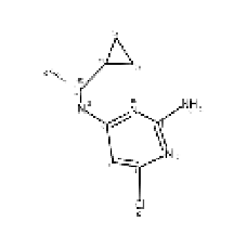 C[C@@H](Nc1cc(Cl)nc(N)n1)C1CC1